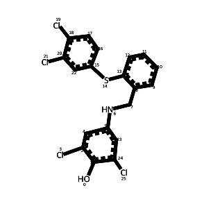 Oc1c(Cl)cc(NCc2ccccc2Sc2ccc(Cl)c(Cl)c2)cc1Cl